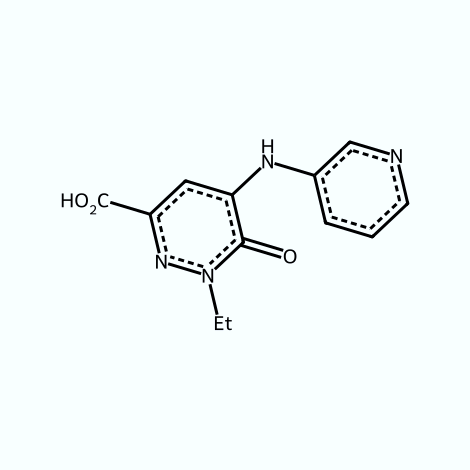 CCn1nc(C(=O)O)cc(Nc2cccnc2)c1=O